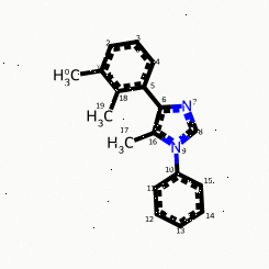 Cc1cccc(-c2ncn(-c3ccccc3)c2C)c1C